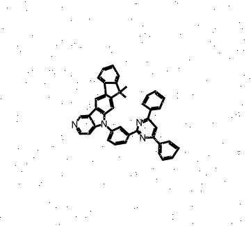 CC1(C)c2ccccc2-c2cc3c4cnccc4n(-c4cccc(-c5nc(-c6ccccc6)cc(-c6ccccc6)n5)c4)c3cc21